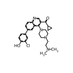 CN(C)[CH][CH]N1CCN(c2c(C(=O)C3CC3)cnc3ccc(-c4ccc(O)c(Cl)c4)cc23)CC1